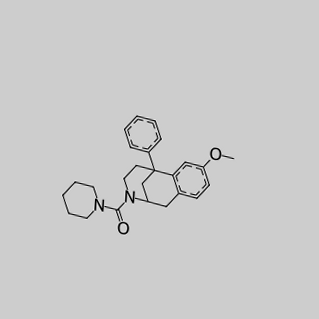 COc1ccc2c(c1)C1(c3ccccc3)CCN(C(=O)N3CCCCC3)C(C2)C1